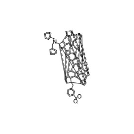 COC(=O)c1cccc(CC23c4c5c6c7c8c9c%10c%11c(c2c2c%12c3c3c%13c4c6c4c6c%13c%13c3c3c%12c%12c%14c2c%11c2c%11c%10c%10c8c8c7c4c4c6c6c%13c7c3c%12c3c(c%142)c2c%11c%10c%10c8c4c4c%10c2c3c7c64)C59N(Cc2ccccc2)Cc2ccccc2)c1